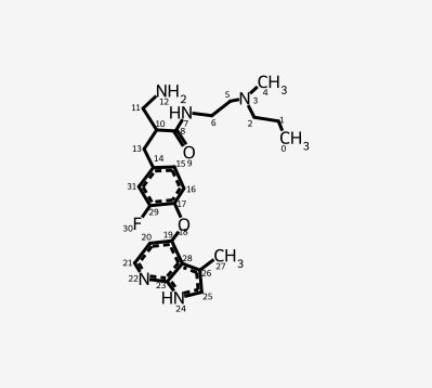 CCCN(C)CCNC(=O)C(CN)Cc1ccc(Oc2ccnc3[nH]cc(C)c23)c(F)c1